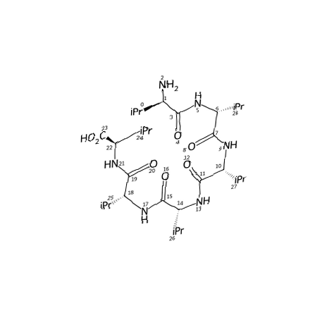 CC(C)[C@@H](N)C(=O)N[C@@H](C(=O)N[C@@H](C(=O)N[C@@H](C(=O)N[C@@H](C(=O)N[C@@H](C(=O)O)C(C)C)C(C)C)C(C)C)C(C)C)C(C)C